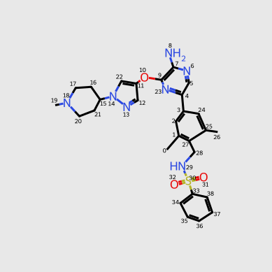 Cc1cc(-c2cnc(N)c(Oc3cnn(C4CCN(C)CC4)c3)n2)cc(C)c1CNS(=O)(=O)c1ccccc1